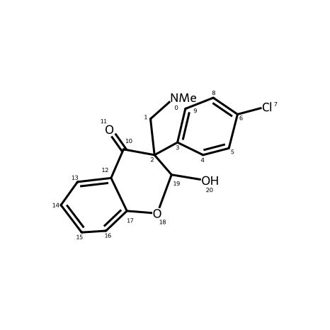 CNCC1(c2ccc(Cl)cc2)C(=O)c2ccccc2OC1O